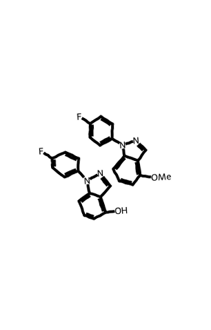 COc1cccc2c1cnn2-c1ccc(F)cc1.Oc1cccc2c1cnn2-c1ccc(F)cc1